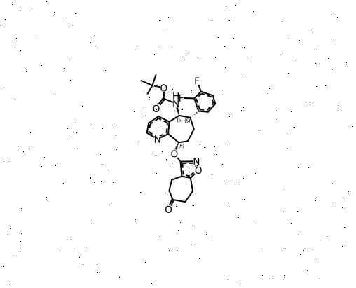 CC(C)(C)OC(=O)N[C@@H]1c2cccnc2[C@H](Oc2noc3c2CCC(=O)CC3)CC[C@H]1c1cccc(F)c1F